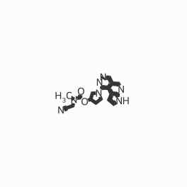 CN(CC#N)C(=O)OC1CCN(c2nncc3cnc4[nH]ccc4c23)C1